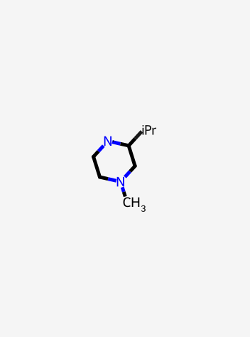 CC(C)C1CN(C)CC[N]1